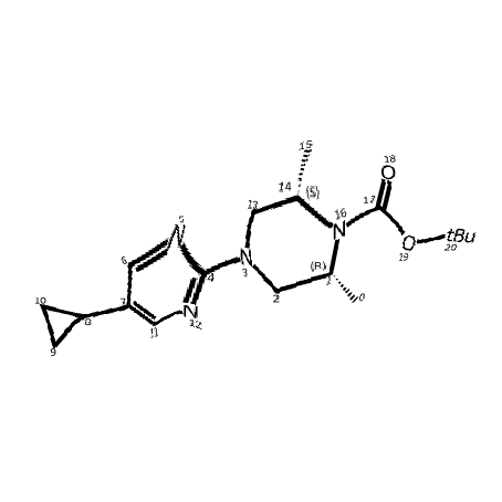 C[C@@H]1CN(c2ncc(C3CC3)cn2)C[C@H](C)N1C(=O)OC(C)(C)C